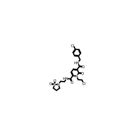 O=C(NCc1ccc(Cl)cc1)c1ccc(C(=O)NCCN2CCCS2(=O)=O)n(CCCl)c1=O